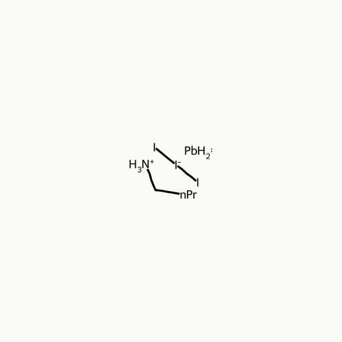 CCCC[NH3+].I[I-]I.[PbH2]